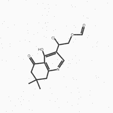 CC1(C)CC(=O)c2c(ncc(C(Cl)COC=O)c2O)C1